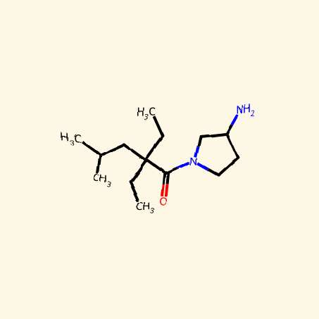 CCC(CC)(CC(C)C)C(=O)N1CCC(N)C1